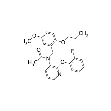 [CH2]CCOc1ccc(OC)cc1CN(C(C)=O)c1cccnc1Oc1ccccc1F